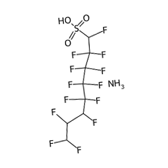 N.O=S(=O)(O)C(F)C(F)(F)C(F)(F)C(F)(F)C(F)(F)C(F)C(F)C(F)F